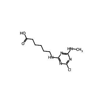 CNc1nc(Cl)nc(NCCCCCC(=O)O)n1